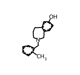 Cc1ccccc1CN1CCCc2cc(O)ccc2C1